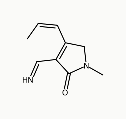 C/C=C\C1=C(C=N)C(=O)N(C)C1